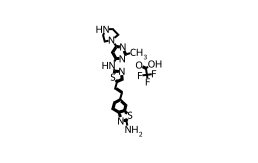 Cc1nc(Nc2ncc(/C=C/c3ccc4nc(N)sc4c3)s2)cc(N2CCNCC2)n1.O=C(O)C(F)(F)F